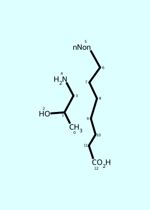 CC(O)CN.CCCCCCCCCCCCCCCC(=O)O